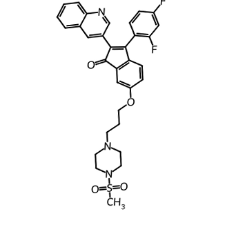 CS(=O)(=O)N1CCN(CCCOc2ccc3c(c2)C(=O)C(c2cnc4ccccc4c2)=C3c2ccc(F)cc2F)CC1